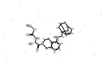 CC(C)[C@H](NC(=O)OC(C)(C)C)C(=O)N1CCc2c(ncnc2NCC23CC4CC(CC(C4)C2)C3)C1